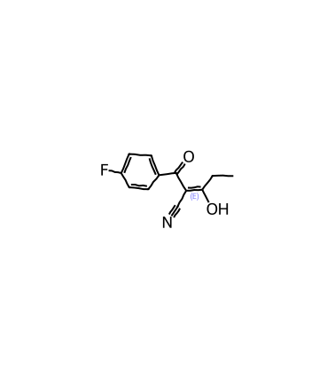 CC/C(O)=C(/C#N)C(=O)c1ccc(F)cc1